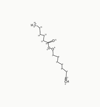 C#CCCCCCCOOC(=O)CCCCC